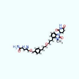 Cn1c(=O)n(C2CCC(=O)NC2=O)c2cccc(CCCOCCCc3ccc(COC[C@@H](N)CCC(N)=O)cc3)c21